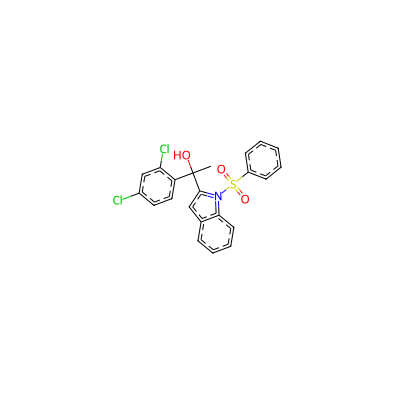 CC(O)(c1ccc(Cl)cc1Cl)c1cc2ccccc2n1S(=O)(=O)c1ccccc1